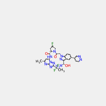 Cc1cc(NC(=O)[C@@H]2C[C@@H](F)CN2C(=O)Cn2nc(C(N)O)c3cc(-c4ccnnc4)ccc32)n2nc(C(C)(F)F)nc2n1